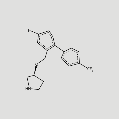 Fc1ccc(-c2ccc(C(F)(F)F)cc2)c(CO[C@H]2CCNC2)c1